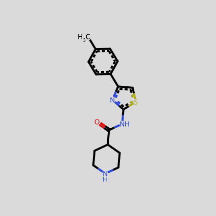 Cc1ccc(-c2csc(NC(=O)C3CCNCC3)n2)cc1